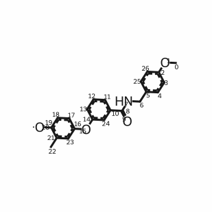 COc1ccc(CNC(=O)c2cccc(Oc3ccc([O])c(C)c3)c2)cc1